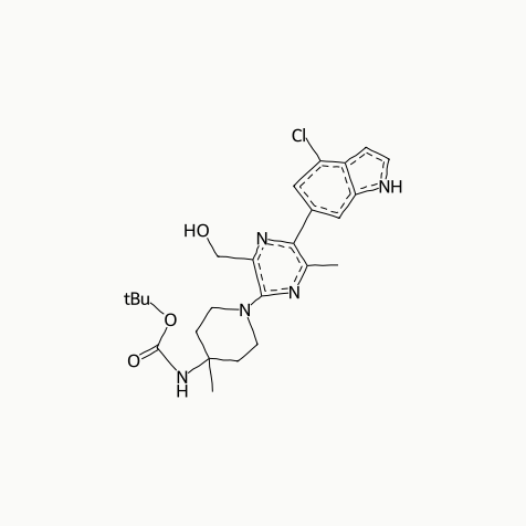 Cc1nc(N2CCC(C)(NC(=O)OC(C)(C)C)CC2)c(CO)nc1-c1cc(Cl)c2cc[nH]c2c1